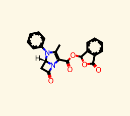 CC1=C(C(=O)OC2OC(=O)c3ccccc32)N2C(=O)C[C@@H]2N1c1ccccc1